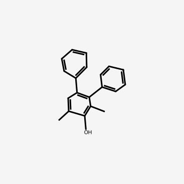 Cc1cc(-c2ccccc2)c(-c2ccccc2)c(C)c1O